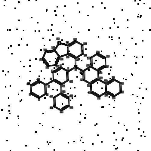 c1ccc(-c2ccc(N(c3cc4ccc5ccccc5c4c4ccccc34)c3cccc4oc5ccccc5c34)cc2-c2ccccc2)cc1